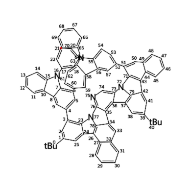 CC(C)(C)c1cc(-c2ccc3c(c2)c2ccccc2n3-c2ccccc2)c2c(c1)c1c3ccccc3cc3c4c5c6cc(C(C)(C)C)cc7c8c9ccccc9cc(-c9ccc%10c(c9)c9ccccc9n%10-c9ccccc9)c8n(c5cnc4n2c31)c67